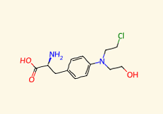 N[C@@H](Cc1ccc(N(CCO)CCCl)cc1)C(=O)O